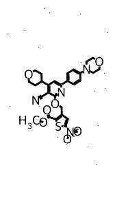 COC(=O)c1sc([N+](=O)[O-])cc1COc1nc(-c2ccc(N3CCOCC3)cc2)cc(C2CCOCC2)c1C#N